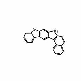 c1ccc2c(c1)ccc1[nH]c3cc4sc5ccccc5c4cc3c12